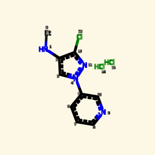 CCNc1cn(-c2cccnc2)nc1Cl.Cl.Cl